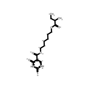 CCC(C)C(=O)OCCCCCCOC(=O)c1c[nH]c(=S)[nH]c1=O